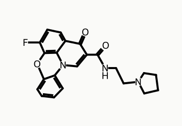 O=C(NCCN1CCCC1)c1cn2c3c(c(F)ccc3c1=O)Oc1ccccc1-2